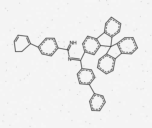 N=C(/N=C(/c1ccc(-c2ccccc2)cc1)c1ccc2c(c1)C1(c3ccccc3-c3ccccc31)c1ccccc1-2)c1ccc(C2=CC=CCC2)cc1